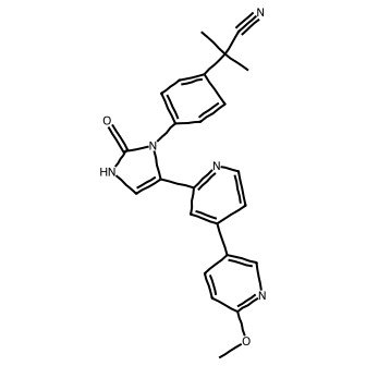 COc1ccc(-c2ccnc(-c3c[nH]c(=O)n3-c3ccc(C(C)(C)C#N)cc3)c2)cn1